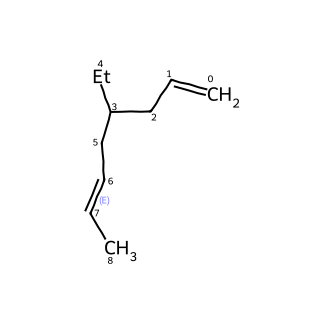 C=CCC(CC)C/C=C/C